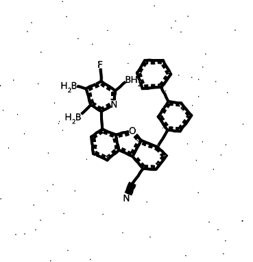 Bc1nc(-c2cccc3c2oc2c(-c4cccc(-c5ccccc5)c4)ccc(C#N)c23)c(B)c(B)c1F